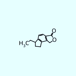 CCC1CCc2c1ccc1c2COC1=O